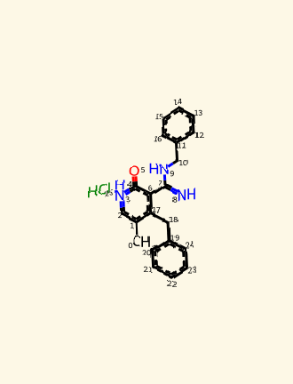 Cc1c[nH]c(=O)c(C(=N)NCc2ccccc2)c1Cc1ccccc1.Cl